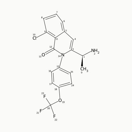 C[C@H](N)c1cc2cccc(Cl)c2c(=O)n1-c1ccc(OC(F)(F)F)cc1